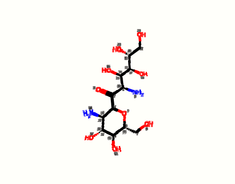 N[C@@H](C(=O)C1O[C@H](CO)[C@@H](O)[C@H](O)[C@H]1N)[C@@H](O)[C@H](O)[C@H](O)CO